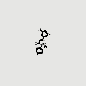 O=c1cc(-c2cc(Cl)cc(Cl)c2)o[n+](=O)n1-c1ccc(Cl)cc1